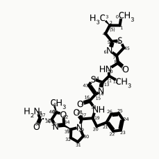 CC[C@H](C)CC1=NC(C(=O)NC(C)c2nc(C(=O)NC(Cc3ccccc3)C(=O)N3CCC[C@H]3C3=N[C@H](C(N)=O)[C@@H](C)O3)cs2)CS1